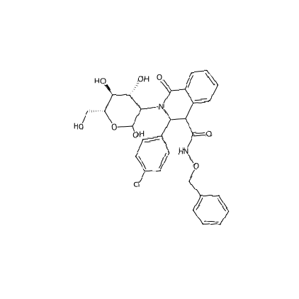 O=C(NOCc1ccccc1)C1c2ccccc2C(=O)N(C2C(O)O[C@H](CO)[C@@H](O)[C@@H]2O)C1c1ccc(Cl)cc1